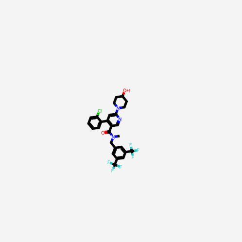 CN(Cc1cc(C(F)(F)F)cc(C(F)(F)F)c1)C(=O)c1cnc(N2CCC(O)CC2)cc1-c1ccccc1Cl